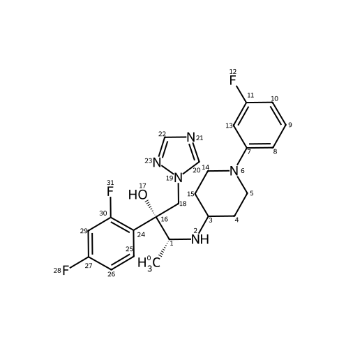 C[C@@H](NC1CCN(c2cccc(F)c2)CC1)[C@](O)(Cn1cncn1)c1ccc(F)cc1F